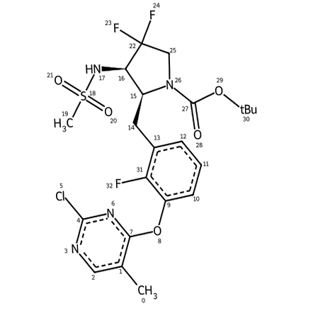 Cc1cnc(Cl)nc1Oc1cccc(C[C@H]2[C@@H](NS(C)(=O)=O)C(F)(F)CN2C(=O)OC(C)(C)C)c1F